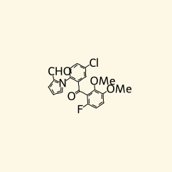 COc1ccc(F)c(C(=O)c2cc(Cl)ccc2-n2cccc2C=O)c1OC